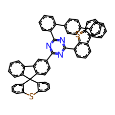 c1ccc(-c2ccc(-c3ccccc3-c3nc(-c4ccc5c(c4)-c4ccccc4C54c5ccccc5Sc5ccccc54)nc(-c4cccc5c4sc4ccccc45)n3)cc2)cc1